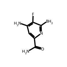 Bc1nc(C(N)=O)cc(N)c1F